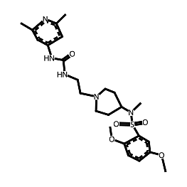 COc1ccc(OC)c(S(=O)(=O)N(C)C2CCN(CCNC(=O)Nc3cc(C)nc(C)c3)CC2)c1